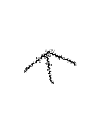 CC(C)(C)N(C(=O)C(CCCCNC(=O)CCOCCOCCN=[N+]=[N-])NC(=O)CCCNC(=O)CCOCCOCCN=[N+]=[N-])C(CCCCNC(=O)CCOCCOCCN=[N+]=[N-])C(=O)O